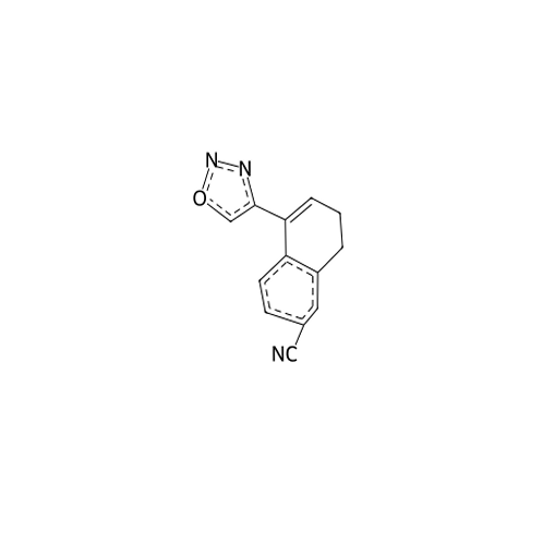 N#Cc1ccc2c(c1)CCC=C2c1conn1